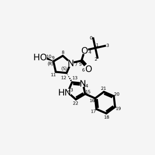 CC(C)(C)OC(=O)N1C[C@H](O)C[C@H]1c1nc(-c2ccccc2)c[nH]1